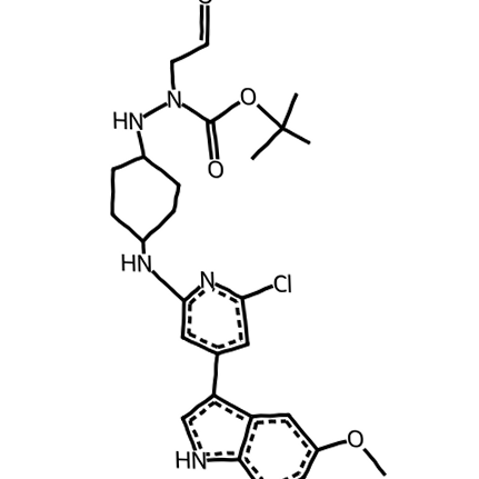 COc1cnc2[nH]cc(-c3cc(Cl)nc(NC4CCC(NN(CC=O)C(=O)OC(C)(C)C)CC4)c3)c2c1